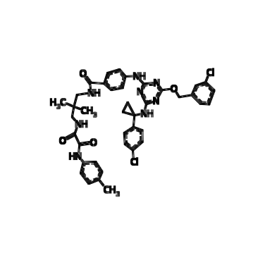 Cc1ccc(NC(=O)C(=O)NCC(C)(C)CNC(=O)c2ccc(Nc3nc(NC4(c5ccc(Cl)cc5)CC4)nc(OCc4cccc(Cl)c4)n3)cc2)cc1